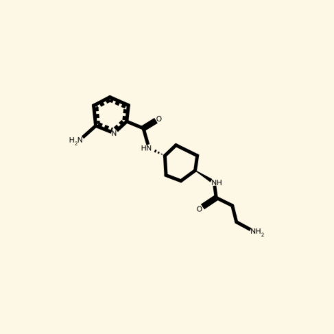 NCCC(=O)N[C@H]1CC[C@H](NC(=O)c2cccc(N)n2)CC1